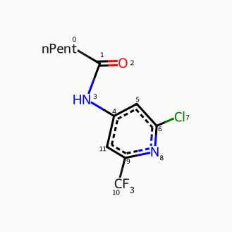 CCCCCC(=O)Nc1cc(Cl)nc(C(F)(F)F)c1